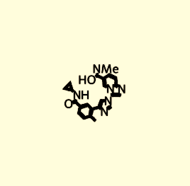 CNC(O)c1ccc2ncc(-n3cnc(-c4cc(C(=O)NC5CC5)ccc4C)c3)n2c1